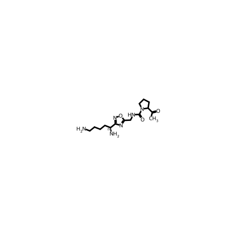 CC(=O)C1CCCN1C(=O)NCc1nc([C@@H](N)CCCCN)no1